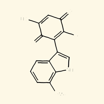 COc1cccc2c(C3=C(O)C(=O)C=C(O)C3=O)c[nH]c12